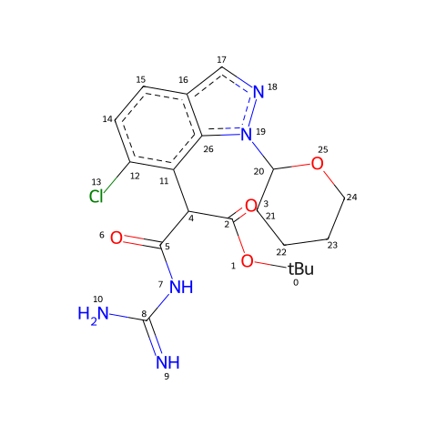 CC(C)(C)OC(=O)C(C(=O)NC(=N)N)c1c(Cl)ccc2cnn(C3CCCCO3)c12